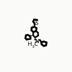 CN(Cc1ccccc1)C[C@@H]1CCc2cc(-c3cccs3)ccc2[C@@H]1c1ccccc1